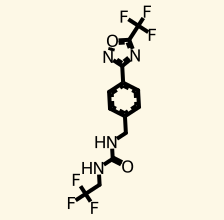 O=C(NCc1ccc(-c2noc(C(F)(F)F)n2)cc1)NCC(F)(F)F